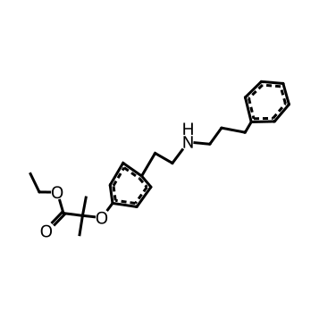 CCOC(=O)C(C)(C)Oc1ccc(CCNCCCc2ccccc2)cc1